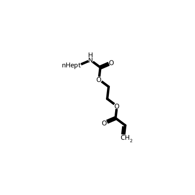 C=CC(=O)OCCOC(=O)NCCCCCCC